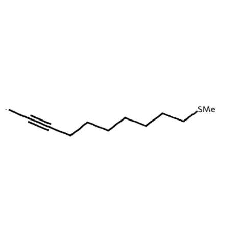 [CH2]C#CCCCCCCCSC